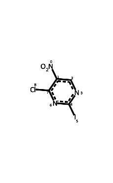 O=[N+]([O-])c1cnc(I)nc1Cl